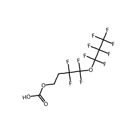 O=C(O)OCCC(F)(F)C(F)(F)OC(F)(F)C(F)(F)C(F)(F)F